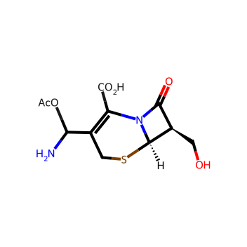 CC(=O)OC(N)C1=C(C(=O)O)N2C(=O)[C@@H](CO)[C@H]2SC1